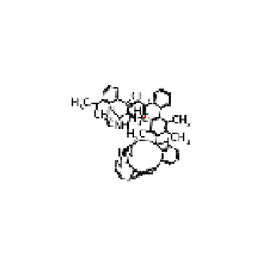 Cc1c(C)c([C@H]2CCC3=CN4C=Cc5cc(ccc5C4N3)-c3ccccc32)c(C)c(C)c1-c1ccccc1-c1ccc(C2NC=CN2c2c(C(C)C)cccc2C(C)C)cc1